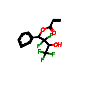 C=CC(=O)OC(c1ccccc1)C(F)(F)C(O)C(F)(F)F